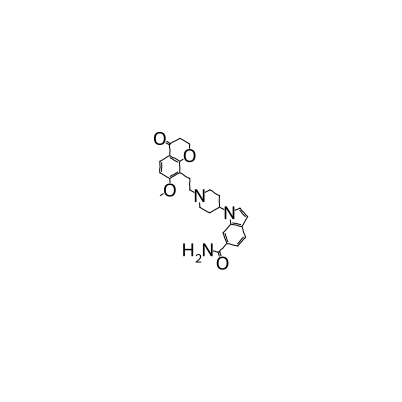 COc1ccc2c(c1CCN1CCC(n3ccc4ccc(C(N)=O)cc43)CC1)OCCC2=O